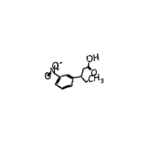 CCC(CC(=O)O)c1cccc([N+](=O)[O-])c1